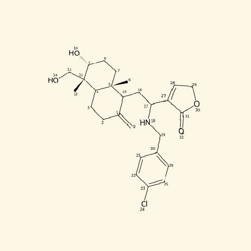 C=C1CCC2[C@](C)(CC[C@@H](O)[C@@]2(C)CO)C1CC(NCc1ccc(Cl)cc1)C1=CCOC1=O